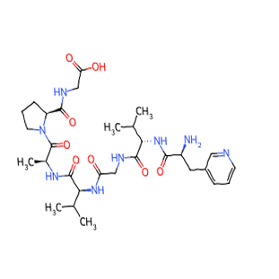 CC(C)[C@H](NC(=O)CNC(=O)[C@@H](NC(=O)[C@@H](N)Cc1cccnc1)C(C)C)C(=O)N[C@@H](C)C(=O)N1CCC[C@H]1C(=O)NCC(=O)O